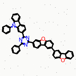 c1ccc(-c2nc(-c3ccc4c(c3)oc3ccc(-c5ccc6oc7ccccc7c6c5)cc34)nc(-c3ccc4c5ccccc5n(-c5ccccc5)c4c3)n2)cc1